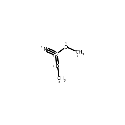 CB=S(#N)OC